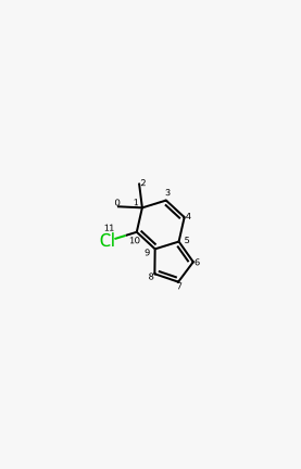 CC1(C)C=CC2=CC=CC2=C1Cl